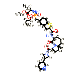 CCCOC(=O)[C@H](C)NP(=O)(Cc1ccc2sc(C(=O)N[C@H]3CCC[C@H]4CC[C@@H](C(=O)N5CC(c6cccnc6)C5)N4C3=O)cc2c1)OCCOC